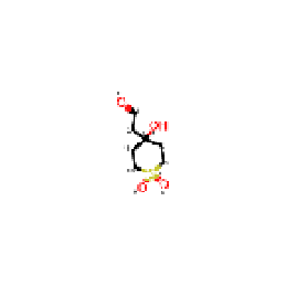 O=CCC1(O)CCS(=O)(=O)CC1